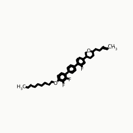 C/C=C/CCC1CCC(c2ccc(-c3ccc(-c4ccc(OCCCCCCCCC)c(F)c4F)cc3)c(F)c2)CO1